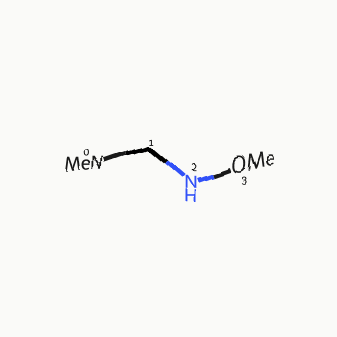 CNCNOC